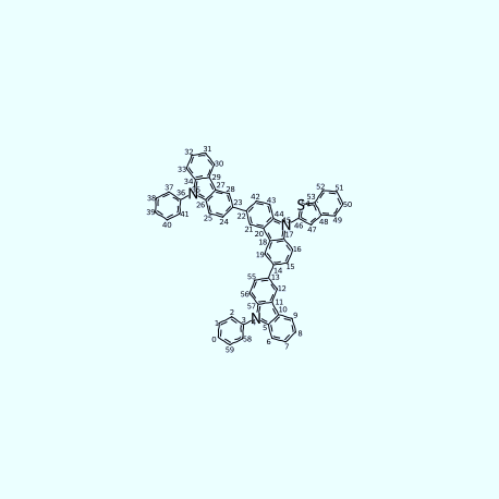 c1ccc(-n2c3ccccc3c3cc(-c4ccc5c(c4)c4cc(-c6ccc7c(c6)c6ccccc6n7-c6ccccc6)ccc4n5-c4cc5ccccc5s4)ccc32)cc1